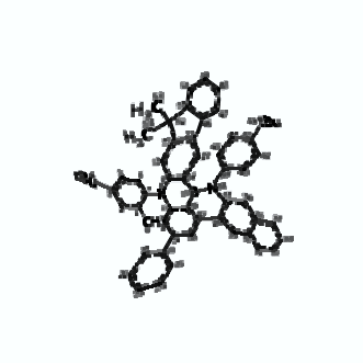 Cc1cc(C(C)(C)C)ccc1N1c2cc3c(cc2B2c4c(cc(-c5ccccc5)cc41)-c1cc4ccccc4cc1N2c1ccc(C(C)(C)C)cc1)-c1ccccc1C3(C)C